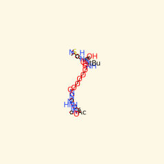 CC(=O)c1c(C)c2cnc(Nc3ccc(N4CCN(C(=O)COCCOCCOCCOCCOCC(=O)NC(C(=O)N5C[C@H](O)C[C@H]5C(=O)NCc5ccc(-c6scnc6C)cc5)C(C)(C)C)CC4)cn3)nc2n(C2CCCC2)c1=O